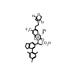 Cc1cc(F)cc(C)c1-c1cc(C(CC(=O)O)NC(=O)[C@@H](CC(C)C)n2cc(CCN3C[C@H]4C[C@@H]3CO4)c(C(F)(F)F)cc2=O)cc2c1CCC2